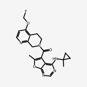 Cc1oc2ncnc(NC3(C)CC3)c2c1C(=O)N1CCc2c(OCF)ccnc2C1